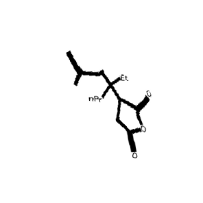 C=C(C)CC(CC)(CCC)C1CC(=O)OC1=O